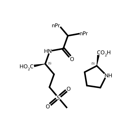 CCCC(CCC)C(=O)N[C@@H](CCS(C)(=O)=O)C(=O)O.O=C(O)[C@@H]1CCCN1